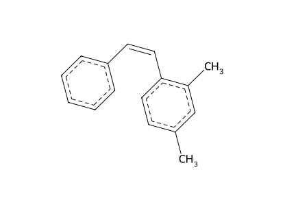 Cc1ccc(/C=C\c2ccccc2)c(C)c1